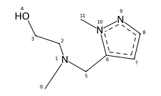 CN(CCO)Cc1ccnn1C